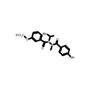 CCCc1ccc(C(=O)N(C)N(C(=O)c2cccc(OC(=O)OCC)c2)C(C)C(C)(C)C)cc1